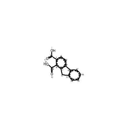 O=C(O)c1ccc2c(c1C(=O)O)Cc1ccccc1-2